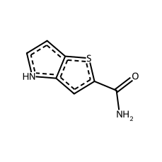 NC(=O)c1cc2[nH]ccc2s1